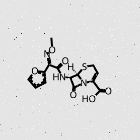 CO/N=C(\C(=O)N[C@@H]1C(=O)N2C(C(=O)O)=CCS[C@H]12)c1ccco1